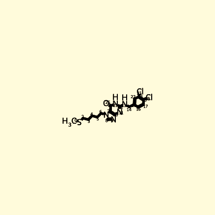 CSCCCCCn1cnc2nc(NCc3ccc(Cl)c(Cl)c3)[nH]c(=O)c21